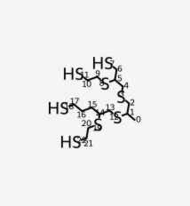 CC(CSCC(CS)SCCS)SCC(CCCS)SCCS